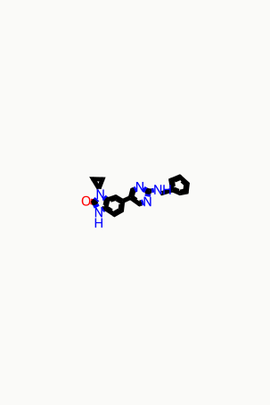 O=c1[nH]c2ccc(-c3cnc(NCc4ccccc4)nc3)cc2n1C1CC1